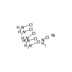 NCl.NCl.NCl.NCl.NCl.NCl.[Ni]